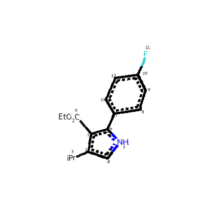 CCOC(=O)c1c(C(C)C)c[nH]c1-c1ccc(F)cc1